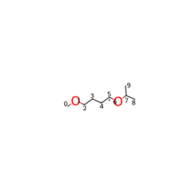 COCCC[CH]OC(C)C